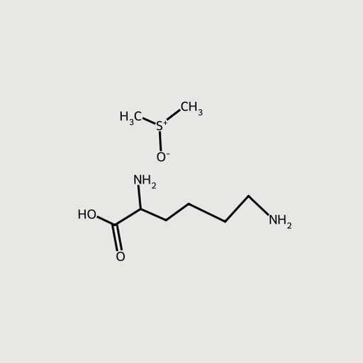 C[S+](C)[O-].NCCCCC(N)C(=O)O